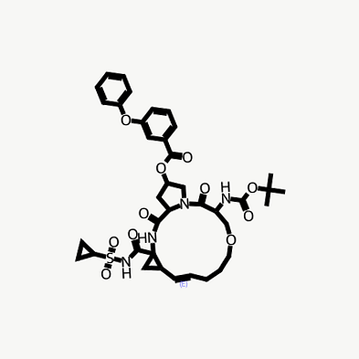 CC(C)(C)OC(=O)NC1COCCC/C=C/C2CC2(C(=O)NS(=O)(=O)C2CC2)NC(=O)C2CC(OC(=O)c3cccc(Oc4ccccc4)c3)CN2C1=O